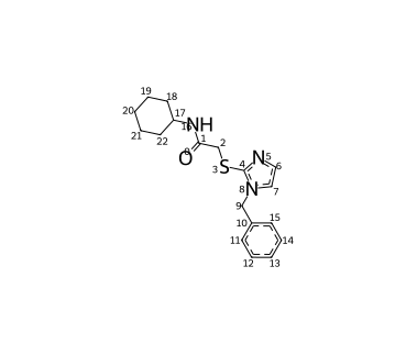 O=C(CSc1nccn1Cc1ccccc1)NC1CCCCC1